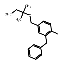 CC(C)(CC=O)OCc1ccc(F)c(Cc2ccccc2)c1